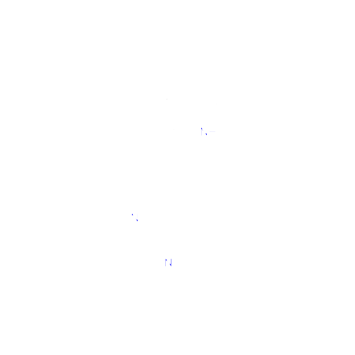 C1=C(c2c[nH]c3ncccc23)C2CCC(C1)N2